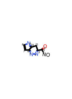 O=NC(=O)C1=NN=C2C=CN=C2C1